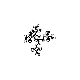 C=CS(=O)(=O)CC[Si](CCS(=O)(=O)C=C)(CCS(=O)(=O)C=C)CCS(=O)(=O)C=C